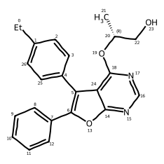 CCc1ccc(-c2c(-c3ccccc3)oc3ncnc(O[C@H](C)CO)c23)cc1